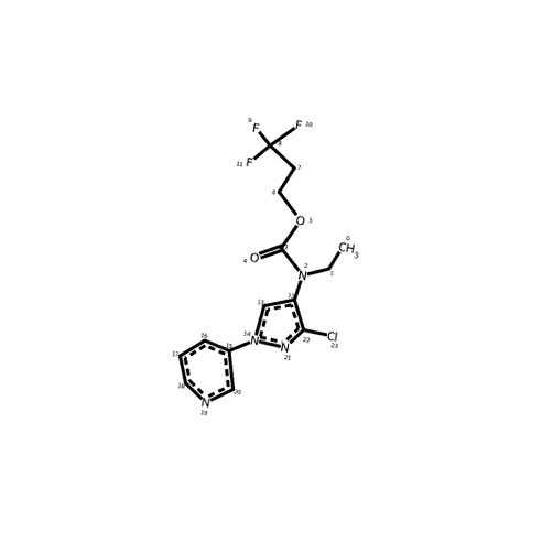 CCN(C(=O)OCCC(F)(F)F)c1cn(-c2cccnc2)nc1Cl